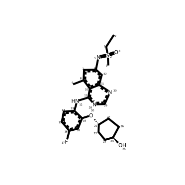 CCS(C)(=O)=Nc1cc(C)c2c(Nc3ccc(F)cc3O[C@H]3CC[C@H](O)CC3)ncnc2c1